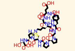 NCCCC[C@H](NC(=O)[C@H](CO)NC(=O)[C@@H](N)CCC(=O)O)C(=O)N[C@@H](Cc1ccc(O)cc1)C(=O)NCC(=O)N1CCC[C@H]1C(=O)N1CCC[C@H]1C(=O)N[C@@H](CS)C(=O)N1CCC[C@H]1C(=O)N[C@@H](CO)C(=O)O